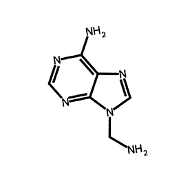 NCn1cnc2c(N)ncnc21